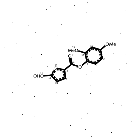 COc1ccc(OC(=O)c2ccc(C=O)s2)c(OC)c1